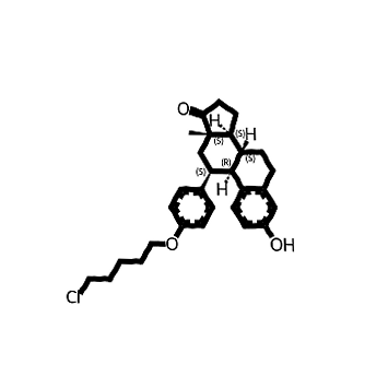 C[C@]12C[C@H](c3ccc(OCCCCCCl)cc3)[C@@H]3c4ccc(O)cc4CC[C@H]3[C@@H]1CCC2=O